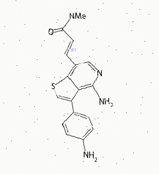 CNC(=O)/C=C/c1cnc(N)c2c(-c3ccc(N)cc3)csc12